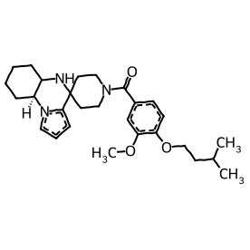 COc1cc(C(=O)N2CCC3(CC2)NC2CCCC[C@@H]2n2cccc23)ccc1OCCC(C)C